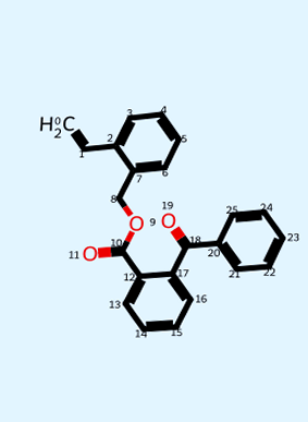 C=Cc1ccccc1COC(=O)c1ccccc1C(=O)c1ccccc1